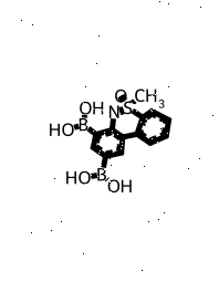 CS1(=O)=Nc2c(B(O)O)cc(B(O)O)cc2-c2ccccc21